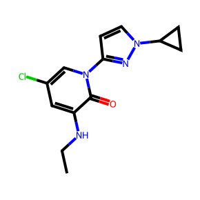 CCNc1cc(Cl)cn(-c2ccn(C3CC3)n2)c1=O